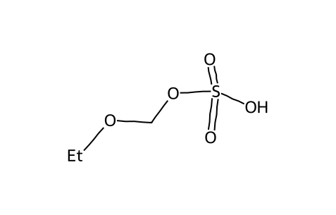 CCOCOS(=O)(=O)O